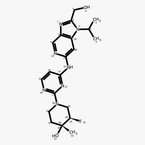 CC(C)n1c(CO)nc2cnc(Nc3ccnc(N4CC[C@@](C)(O)[C@H](F)C4)n3)cc21